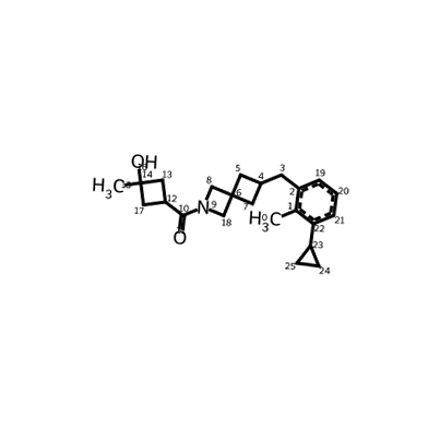 Cc1c(CC2CC3(C2)CN(C(=O)C2CC(C)(O)C2)C3)cccc1C1CC1